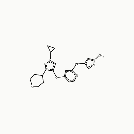 Cn1cc(Nc2cc(Oc3cn(C4CC4)nc3C3CCOCC3)ccn2)cn1